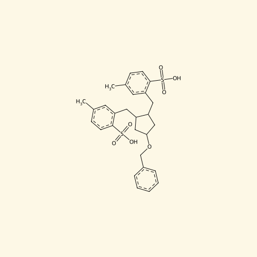 Cc1ccc(S(=O)(=O)O)c(CC2CC(OCc3ccccc3)CC2Cc2cc(C)ccc2S(=O)(=O)O)c1